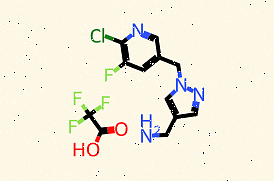 NCc1cnn(Cc2cnc(Cl)c(F)c2)c1.O=C(O)C(F)(F)F